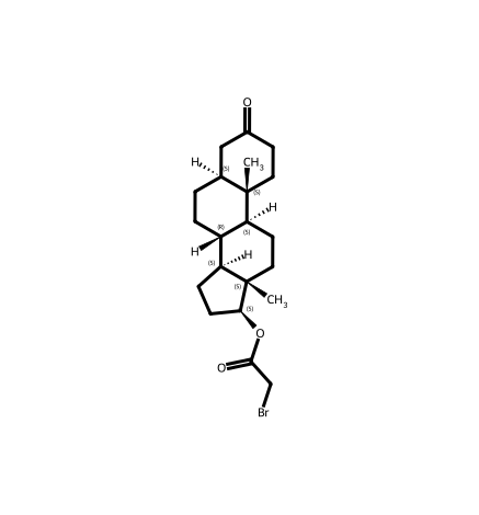 C[C@]12CCC(=O)C[C@@H]1CC[C@@H]1[C@@H]2CC[C@]2(C)[C@@H](OC(=O)CBr)CC[C@@H]12